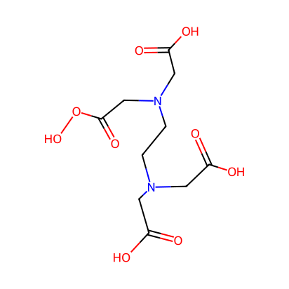 O=C(O)CN(CCN(CC(=O)O)CC(=O)OO)CC(=O)O